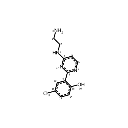 NCCNc1ccnc(-c2cc(Cl)ccc2O)n1